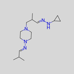 CC(C)/C=N/N1CCN(CC(C)/C=N/NC2CC2)CC1